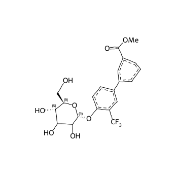 COC(=O)c1cccc(-c2ccc(O[C@H]3O[C@H](CO)[C@@H](O)C(O)C3O)c(C(F)(F)F)c2)c1